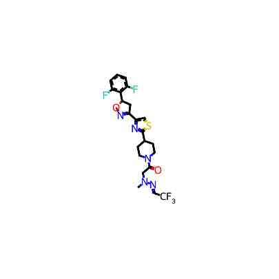 CN(CC(=O)N1CCC(c2nc(C3=NOC(c4c(F)cccc4F)C3)cs2)CC1)N=CC(F)(F)F